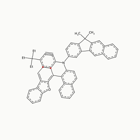 CCC(CC)(CC)c1c#cc(N(c2ccc3c(c2)-c2cc4ccccc4cc2C3(C)C)c2ccc3ccccc3c2C2=c3oc4ccccc4c3=CCC2)cc1